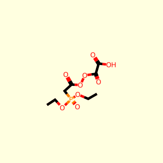 CCOP(=O)(CC(=O)OOC(=O)C(=O)O)OCC